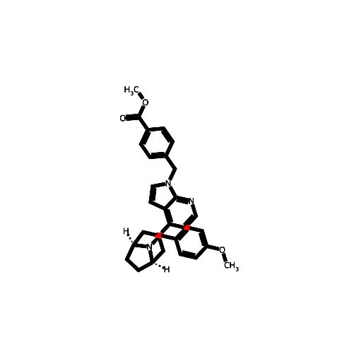 COC(=O)c1ccc(Cn2ccc3c(N4C[C@H]5CC[C@@H](C4)N5Cc4ccc(OC)cc4)ccnc32)cc1